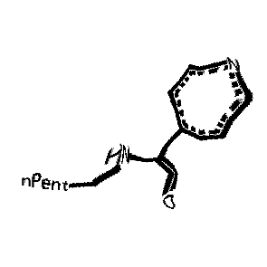 CCCCCCNC(=O)c1ccncc1